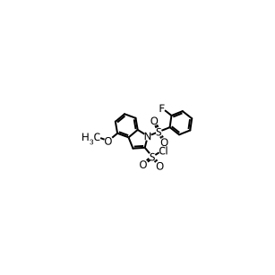 COc1cccc2c1cc(S(=O)(=O)Cl)n2S(=O)(=O)c1ccccc1F